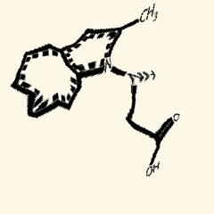 Cc1cc2ccccc2n1NCC(=O)O